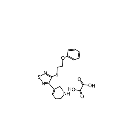 C1=C(c2nsnc2SCCOc2ccccc2)CNCC1.O=C(O)C(=O)O